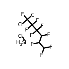 FC(F)C(F)C(F)C(F)(F)C(F)(F)C(F)(Cl)Cl.[SiH3]Cl